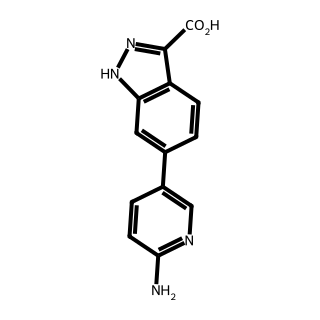 Nc1ccc(-c2ccc3c(C(=O)O)n[nH]c3c2)cn1